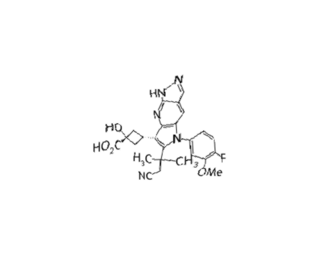 COc1cc(-n2c(C(C)(C)CC#N)c([C@H]3C[C@](O)(C(=O)O)C3)c3nc4[nH]ncc4cc32)ccc1F